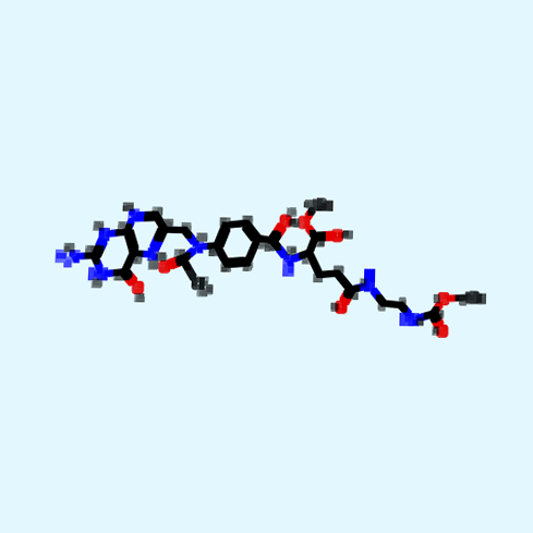 CC(C)(C)OC(=O)NCCNC(=O)CCC(NC(=O)c1ccc(N(Cc2cnc3nc(N)[nH]c(=O)c3n2)C(=O)C(F)(F)F)cc1)C(=O)OC(C)(C)C